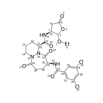 CCOC1OC(=O)C[C@@H]1NC(=O)[C@@H]1CCCN2C(=O)CC[C@H](NC(=O)c3cc(Cl)cc(Cl)c3)C(=O)N12